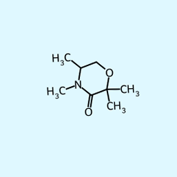 CC1COC(C)(C)C(=O)N1C